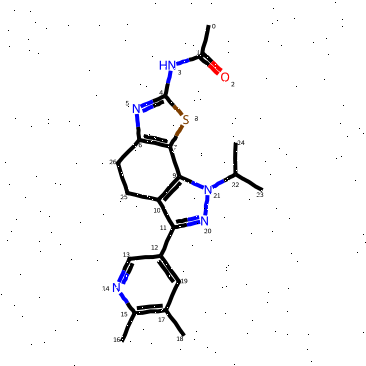 CC(=O)Nc1nc2c(s1)-c1c(c(-c3cnc(C)c(C)c3)nn1C(C)C)CC2